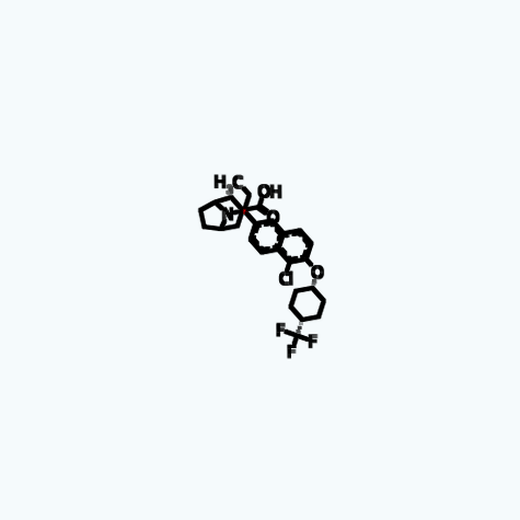 CCC(c1ccc2c(Cl)c(O[C@H]3CC[C@@H](C(F)(F)F)CC3)ccc2c1)N1C2CCC1CC(C(=O)O)C2